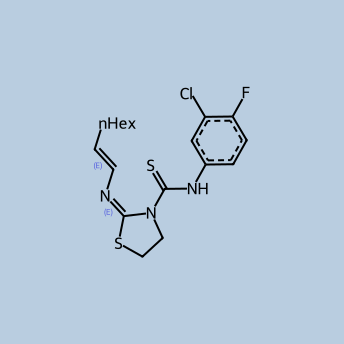 CCCCCC/C=C/N=C1/SCCN1C(=S)Nc1ccc(F)c(Cl)c1